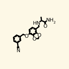 CC(NCc1ccc(OCc2cccc(C#N)c2)c2c1OCO2)C(N)=O